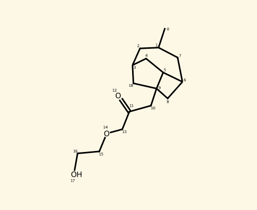 CC1CC2CC3C(C1)CC3(CC(=O)COCCO)C2